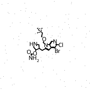 C[Si](C)(C)CCOCn1c(CC2CNCC2OC(N)=O)cc2c(Br)c(Cl)ncc21